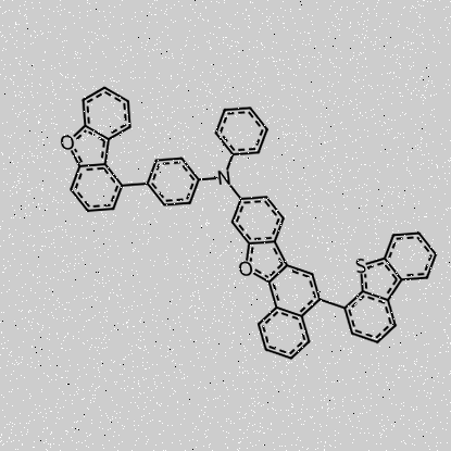 c1ccc(N(c2ccc(-c3cccc4oc5ccccc5c34)cc2)c2ccc3c(c2)oc2c4ccccc4c(-c4cccc5c4sc4ccccc45)cc32)cc1